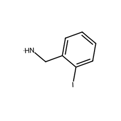 [NH]Cc1ccccc1I